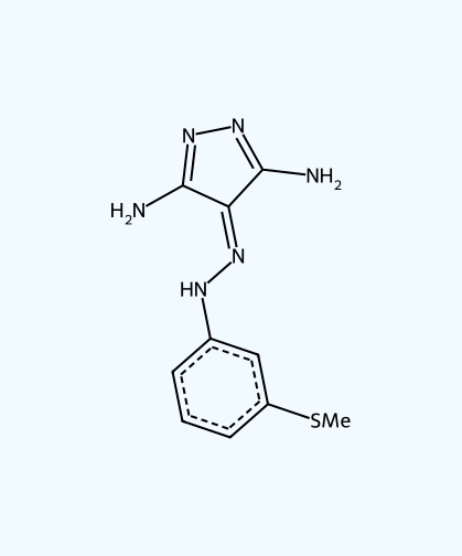 CSc1cccc(NN=C2C(N)=NN=C2N)c1